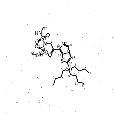 CCC[CH2][Sn]([CH2]CCC)([CH2]CCC)[c]1cn2cnc(C(=O)CN(S(=O)(=O)NC)S(=O)(=O)NC)c2s1